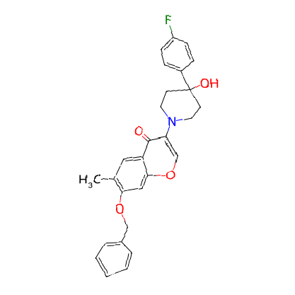 Cc1cc2c(=O)c(N3CCC(O)(c4ccc(F)cc4)CC3)coc2cc1OCc1ccccc1